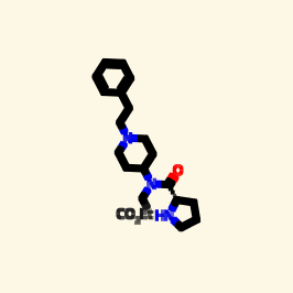 CCOC(=O)CN(C(=O)[C@@H]1CCCN1)C1CCN(CCc2ccccc2)CC1